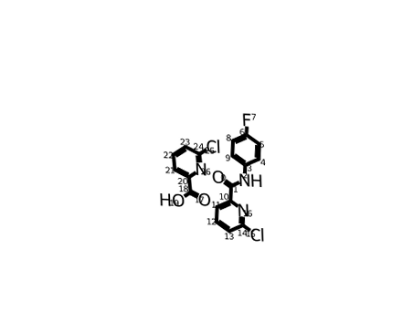 O=C(Nc1ccc(F)cc1)c1cccc(Cl)n1.O=C(O)c1cccc(Cl)n1